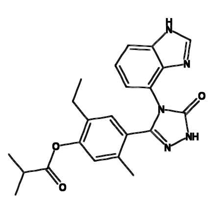 CCc1cc(-c2n[nH]c(=O)n2-c2cccc3[nH]cnc23)c(C)cc1OC(=O)C(C)C